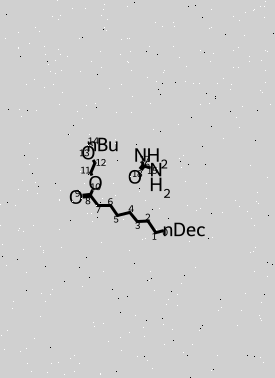 CCCCCCCCCCCCCCCCCC(=O)OCCOCCCC.NC(N)=O